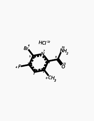 Cc1cc(F)c(Br)nc1C(N)=O.Cl